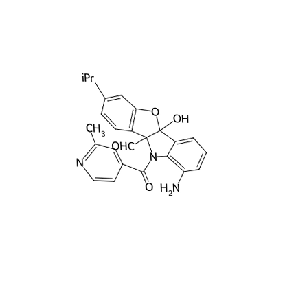 Cc1cc(C(=O)N2c3c(N)cccc3C3(O)Oc4cc(C(C)C)ccc4C23C=O)ccn1